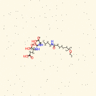 CCOC(C)(C)CCCCCC(=O)NCCCC[C@H](NC(=O)N[C@@H](CCC(=O)O)C(=O)O)C(=O)O